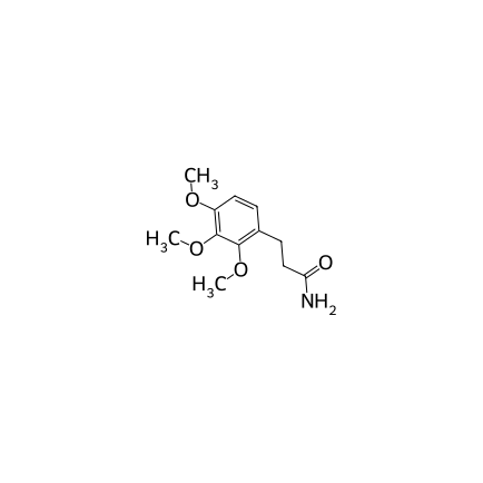 COc1ccc(CCC(N)=O)c(OC)c1OC